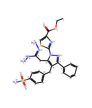 CCOC(=O)c1csc(-n2nc(-c3ccccc3)c(Cc3ccc(S(N)(=O)=O)cc3)c2C/C(=N/N)NN)n1